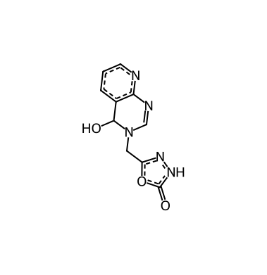 O=c1[nH]nc(CN2C=Nc3ncccc3C2O)o1